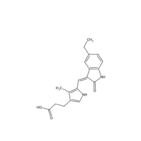 CCc1ccc2c(c1)C(=Cc1[nH]cc(CCC(=O)O)c1C)C(=O)N2